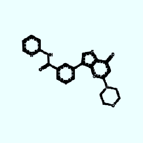 O=C(Nc1ccccn1)c1cccc(-c2csc3c(=O)cc(N4CCOCC4)oc23)c1